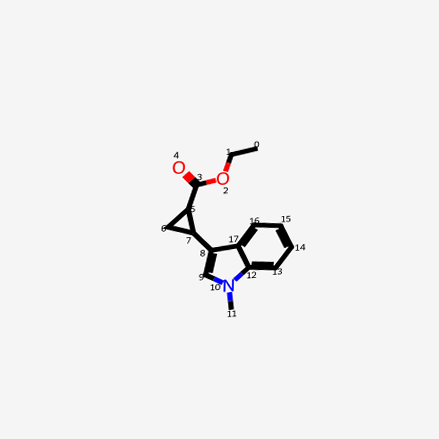 CCOC(=O)C1CC1c1cn(C)c2ccccc12